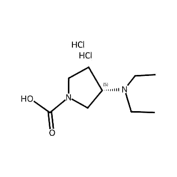 CCN(CC)[C@H]1CCN(C(=O)O)C1.Cl.Cl